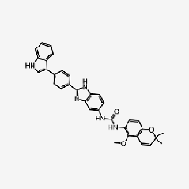 COc1c(NC(=O)Nc2ccc3[nH]c(-c4ccc(-c5c[nH]c6ccccc56)cc4)nc3c2)ccc2c1C=CC(C)(C)O2